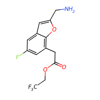 NCc1cc2cc(F)cc(CC(=O)OCC(F)(F)F)c2o1